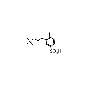 Cc1ccc(S(=O)(=O)O)cc1CCC[Si](C)(C)C